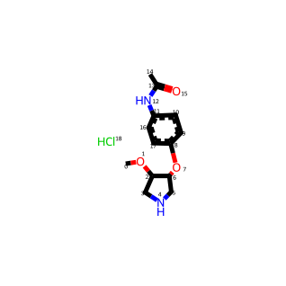 COC1CNCC1Oc1ccc(NC(C)=O)cc1.Cl